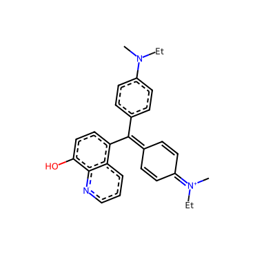 CCN(C)c1ccc(C(=C2C=CC(=[N+](C)CC)C=C2)c2ccc(O)c3ncccc23)cc1